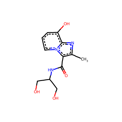 Cc1nc2c(O)cccn2c1C(=O)NC(CO)CO